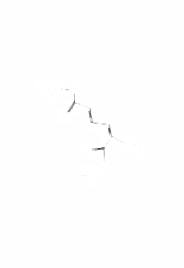 COC(=O)C=CC=C(C)C(=O)OC